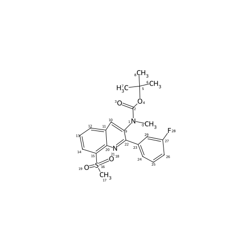 CN(C(=O)OC(C)(C)C)c1cc2cccc(S(C)(=O)=O)c2nc1-c1cccc(F)c1